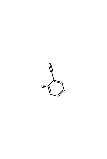 N#Cc1c[c]ccc1.[LiH]